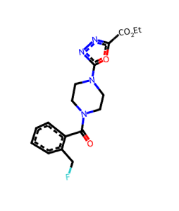 CCOC(=O)c1nnc(N2CCN(C(=O)c3ccccc3CF)CC2)o1